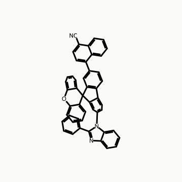 N#Cc1ccc(-c2ccc3c(c2)C2(c4ccccc4Oc4ccccc42)c2cc(-n4c(-c5ccccc5)nc5ccccc54)ccc2-3)c2ccccc12